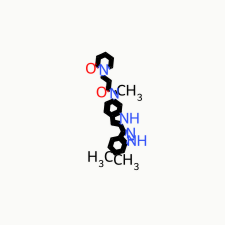 CN(C(=O)CCN1CCCCC1=O)c1ccc2cc(-c3n[nH]c4c3CCC(C)(C)C4)[nH]c2c1